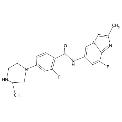 Cc1cn2cc(NC(=O)c3ccc(N4CCNC(C)C4)cc3F)cc(F)c2n1